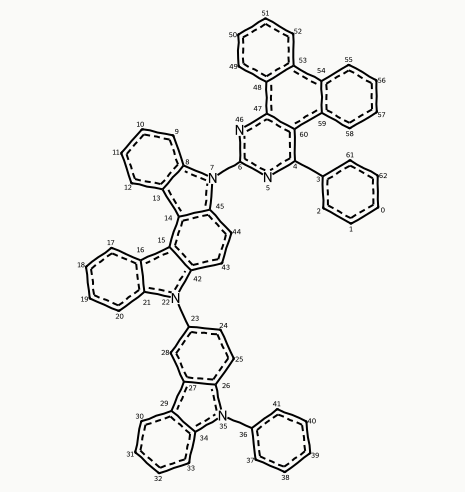 c1ccc(-c2nc(-n3c4ccccc4c4c5c6ccccc6n(-c6ccc7c(c6)c6ccccc6n7-c6ccccc6)c5ccc43)nc3c4ccccc4c4ccccc4c23)cc1